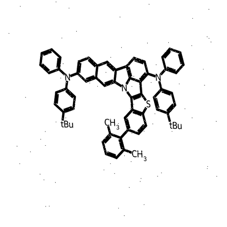 Cc1cccc(C)c1-c1ccc2sc3c4c(N(c5ccccc5)c5ccc(C(C)(C)C)cc5)ccc5c6cc7ccc(N(c8ccccc8)c8ccc(C(C)(C)C)cc8)cc7cc6n(c3c2c1)c54